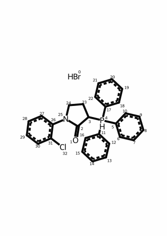 Br.O=C1C([PH](c2ccccc2)(c2ccccc2)c2ccccc2)CCN1c1ccccc1Cl